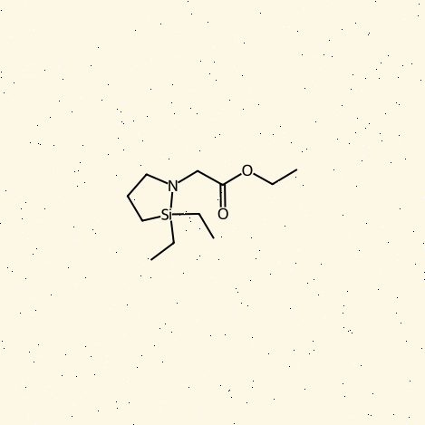 CCOC(=O)CN1CCC[Si]1(CC)CC